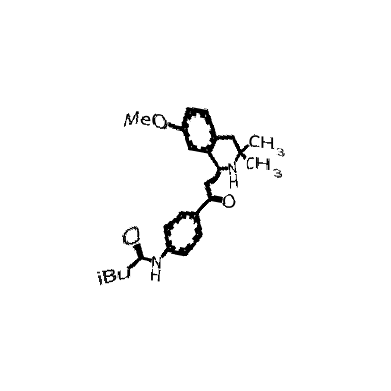 CCC(C)C(=O)Nc1ccc(C(=O)C=C2NC(C)(C)Cc3ccc(OC)cc32)cc1